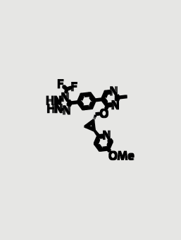 COc1ccc([C@H]2C[C@@H]2COc2nc(C)ncc2-c2ccc(C3=NNNN3C(F)F)cc2)nc1